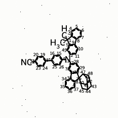 CC1(C)c2ccccc2-c2ccc(N(c3ccc(-c4ccc(C#N)cc4)cc3)c3ccc4c(c3)-c3ccccc3C43C4CC5CC(C4)CC3C5)cc21